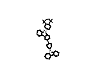 CC1(C)CCC(C)(C)c2cc(-n3c4ccccc4c4cc(-c5ccc(-n6c7ccccc7c7ccccc76)cc5)ccc43)ccc21